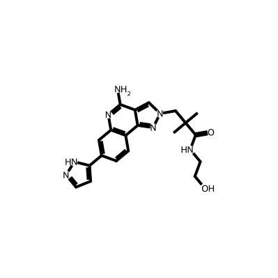 CC(C)(Cn1cc2c(N)nc3cc(-c4ccn[nH]4)ccc3c2n1)C(=O)NCCO